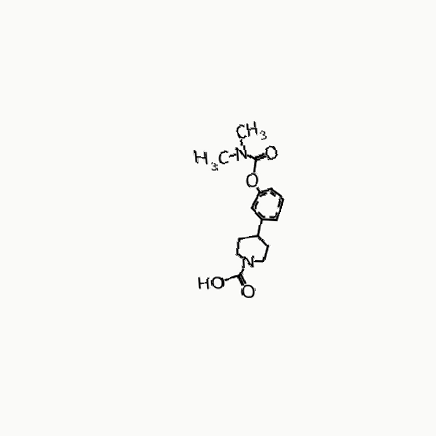 CN(C)C(=O)Oc1cccc(C2CCN(C(=O)O)CC2)c1